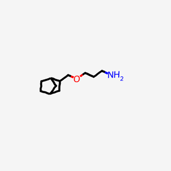 NCCCOCC1CC2CCC1C2